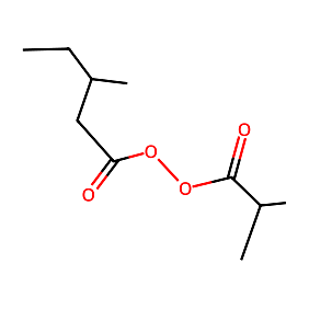 CCC(C)CC(=O)OOC(=O)C(C)C